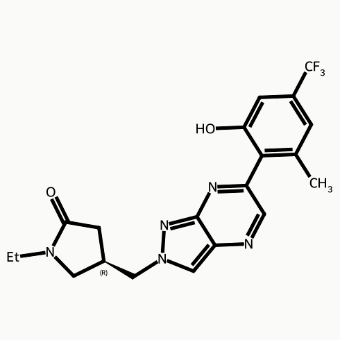 CCN1C[C@H](Cn2cc3ncc(-c4c(C)cc(C(F)(F)F)cc4O)nc3n2)CC1=O